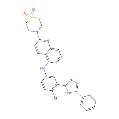 O=S1(=O)CCN(c2ccc3c(Nc4ccc(Cl)c(-c5ncc(-c6ccccc6)[nH]5)c4)cccc3n2)CC1